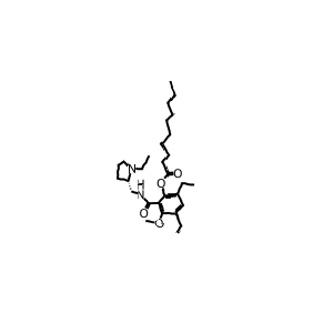 CCCCCCCCCC(=O)Oc1c(CC)cc(CC)c(OC)c1C(=O)NC[C@@H]1CCCN1CC